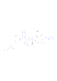 CNC(=O)c1ccccc1N(C)c1nc(Nc2ccc3c(c2)CN(C)C(=O)CC3)ncc1F